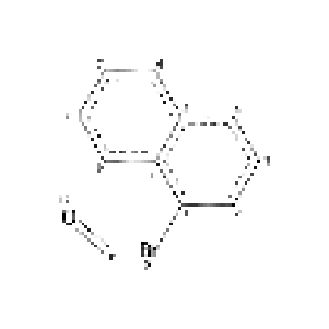 Brc1cccc2ccccc12.C=O